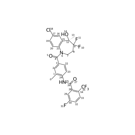 Cc1cc(C(=O)N2CCC(F)(F)[C@](C)(O)c3cc(Cl)ccc32)ccc1NC(=O)c1cc(F)ccc1C(F)(F)F